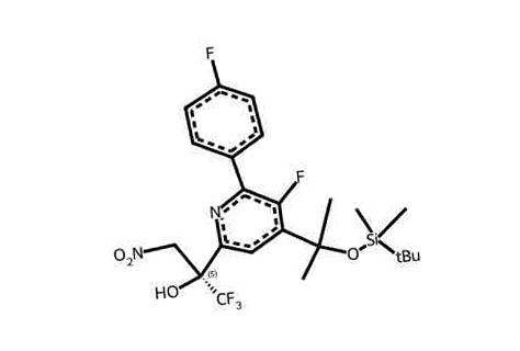 CC(C)(O[Si](C)(C)C(C)(C)C)c1cc([C@@](O)(C[N+](=O)[O-])C(F)(F)F)nc(-c2ccc(F)cc2)c1F